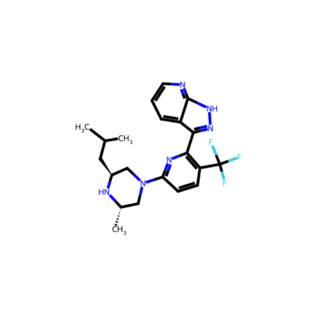 CC(C)C[C@H]1CN(c2ccc(C(F)(F)F)c(-c3n[nH]c4ncccc34)n2)C[C@H](C)N1